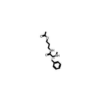 CN[C@H](Cc1ccccc1)C(=O)NCCCOC(C)=O